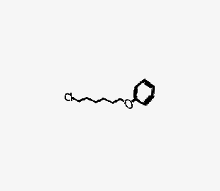 ClCCCCCCOc1ccccc1